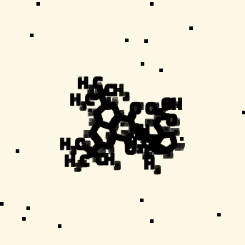 CC(C)(C)c1cc2c3c(cc(C(C)(C)C)cc3c1)C(=O)NC2=O.CC1(C)C2CCC1(CS(=O)(=O)O)C(=O)C2